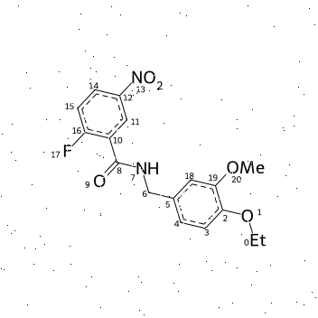 CCOc1ccc(CNC(=O)c2cc([N+](=O)[O-])ccc2F)cc1OC